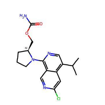 CC(C)c1cnc(N2CCC[C@H]2COC(N)=O)c2cnc(Cl)cc12